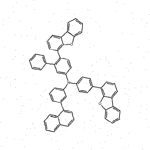 c1ccc(-c2cc(N(c3ccc(-c4cccc5c4oc4ccccc45)cc3)c3cccc(-c4cccc5ccccc45)c3)ccc2-c2cccc3c2oc2ccccc23)cc1